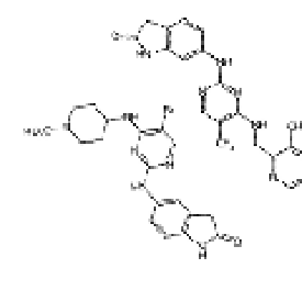 Cc1cccnc1CNc1nc(Nc2ccc3c(c2)NC(=O)C3)ncc1C(F)(F)F.O=C1Cc2cc(Nc3ncc(Br)c(NC4CCN(C(=O)O)CC4)n3)ccc2N1